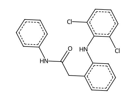 O=C(Cc1ccccc1Nc1c(Cl)cccc1Cl)Nc1ccccc1